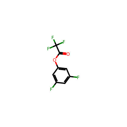 O=C(Oc1cc(F)cc(F)c1)C(F)(F)F